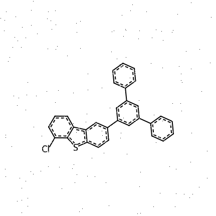 Clc1cccc2c1sc1ccc(-c3cc(-c4ccccc4)cc(-c4ccccc4)c3)cc12